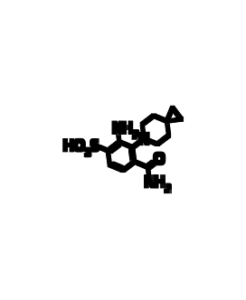 NC(=O)c1ccc(S(=O)(=O)O)c(N)c1N1CCC2(CC1)CC2